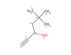 [C]#CC(O)CC(C)(C)C